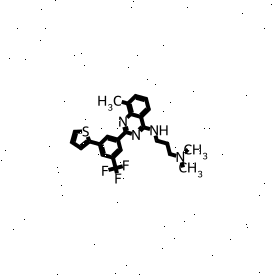 Cc1cccc2c(NCCCN(C)C)nc(-c3cc(-c4cccs4)cc(C(F)(F)F)c3)nc12